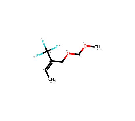 C/C=C(\COCOC)C(F)(F)F